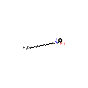 CCCCCCCCCCCCCCCCCCNCc1ccccc1O